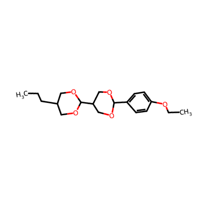 CCCC1COC(C2COC(c3ccc(OCC)cc3)OC2)OC1